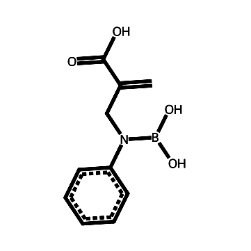 C=C(CN(B(O)O)c1ccccc1)C(=O)O